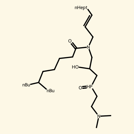 CCCCCCCC=CCN(CC(O)C[PH](=O)CCN(C)C)C(=O)CCCCC(CCCC)CCCC